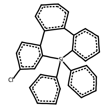 Clc1ccc2c(c1)[Si](c1ccccc1)(c1ccccc1)c1ccccc1-c1ccccc1-2